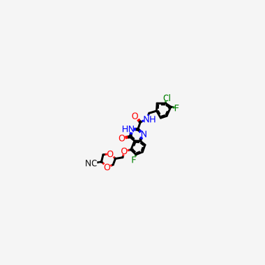 N#CC1COC(COc2c(F)ccc3nc(C(=O)NCc4ccc(F)c(Cl)c4)[nH]c(=O)c23)CO1